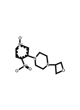 O=[N+]([O-])c1cc[n+]([O-])cc1N1CCN(C2COC2)CC1